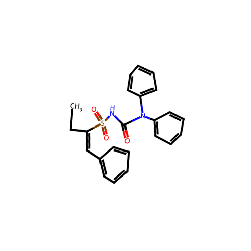 CCC(=Cc1ccccc1)S(=O)(=O)NC(=O)N(c1ccccc1)c1ccccc1